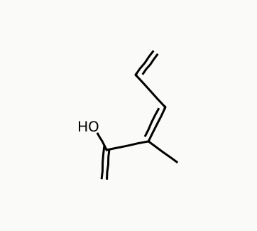 C=C/C=C(/C)C(=C)O